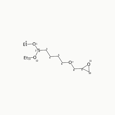 CC[O][Ti]([CH2]CCCOCC1CO1)[O]CC